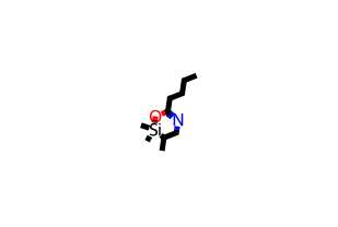 CCCCC1=NCC(C)[Si](C)(C)O1